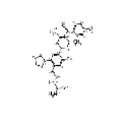 C[C@@H]1CN(c2cc(N3CCCC3)c(/C=N/NC(N)=S)cc2F)C[C@H](C)N1C(=O)c1ccc(Cl)cc1